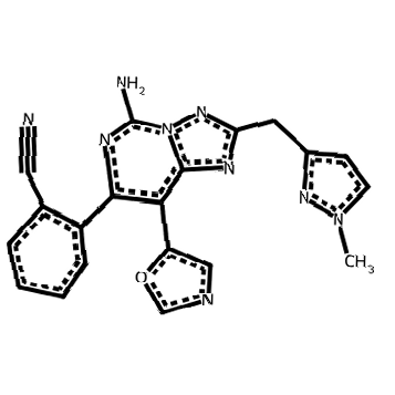 Cn1ccc(Cc2nc3c(-c4cnco4)c(-c4ccccc4C#N)nc(N)n3n2)n1